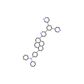 c1ccc(N(c2ccccc2)c2ccc(-c3ccc4ccc5c(-c6ccc(-c7cc(-c8ccncc8)cc(-c8cccnc8)c7)cn6)ccc6ccc3c4c65)cc2)cc1